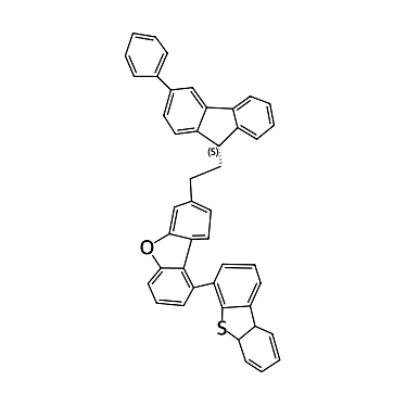 C1=CC2Sc3c(-c4cccc5oc6cc(CC[C@H]7c8ccccc8-c8cc(-c9ccccc9)ccc87)ccc6c45)cccc3C2C=C1